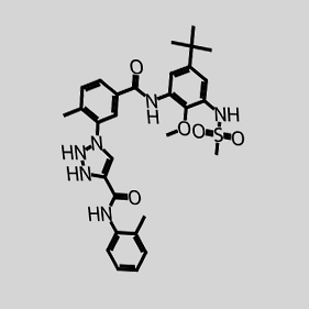 COc1c(NC(=O)c2ccc(C)c(N3C=C(C(=O)Nc4ccccc4C)NN3)c2)cc(C(C)(C)C)cc1NS(C)(=O)=O